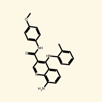 COc1ccc(NC(=O)c2cnc3c(N)cccc3c2Nc2ccccc2C)cc1